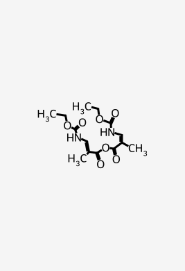 CCOC(=O)NC=C(C)C(=O)OC(=O)C(C)=CNC(=O)OCC